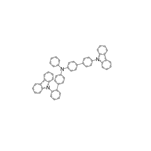 c1ccc(N(c2ccc(-c3ccc(-n4c5ccccc5c5ccccc54)cc3)cc2)c2ccc(-c3ccccc3-n3c4ccccc4c4ccccc43)cc2)cc1